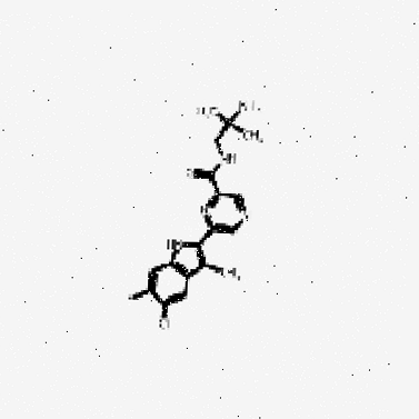 Cc1c(-c2cncc(C(=O)NCC(C)(C)N)n2)[nH]c2cc(F)c(Cl)cc12